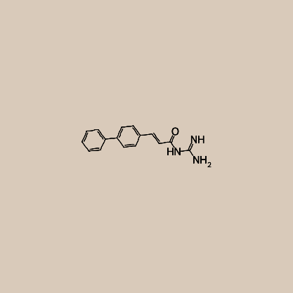 N=C(N)NC(=O)C=Cc1ccc(-c2ccccc2)cc1